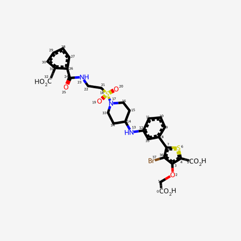 O=C(O)COc1c(C(=O)O)sc(-c2cccc(NC3CCN(S(=O)(=O)CCNC(=O)c4ccccc4C(=O)O)CC3)c2)c1Br